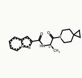 C[C@@H](NC(=O)c1cc2ccccn2n1)C(=O)N1CCC2(CC1)CC2